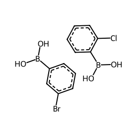 OB(O)c1cccc(Br)c1.OB(O)c1ccccc1Cl